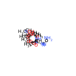 CC[C@H]1OC(=O)[C@H](C)C(=O)[C@H](C)[C@@H](O[C@@H]2O[C@H](C)CC(N(C)C)C2O)C(OC)(OC)C[C@@H](C)C(=O)N[C@H](C)[C@H]2N(CCCCn3cc(-c4cccc(N)c4)nn3)C(=O)O[C@]12C